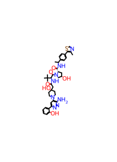 Cc1ncsc1-c1ccc(C(C)NC(=O)[C@@H]2C[C@@H](O)CN2C(=O)C(NC(=O)CC2(O)CCN(c3cc(-c4ccccc4O)nnc3N)CC2)C(C)(C)C)cc1